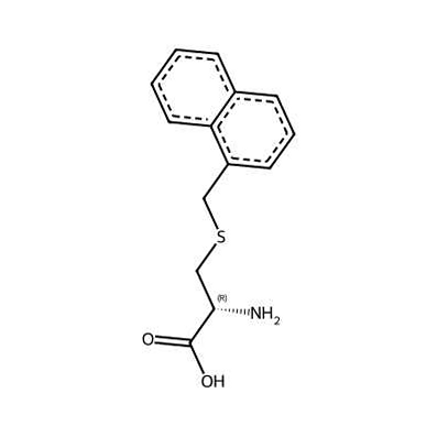 N[C@@H](CSCc1cccc2ccccc12)C(=O)O